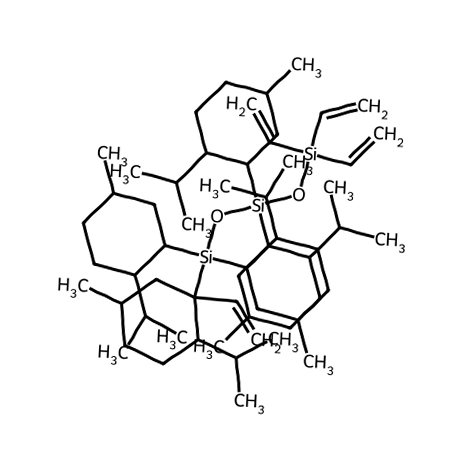 C=CC1([Si](O[Si](O[Si](C=C)(C=C)C=C)(C2CC(C)CCC2C(C)C)C2CC(C)CCC2C(C)C)(C2CC(C)CCC2C(C)C)C2CC(C)CCC2C(C)C)CC(C)CCC1C(C)C